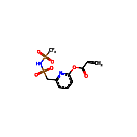 C=CC(=O)Oc1cccc(CS(=O)(=O)NS(=O)(=O)C(F)(F)F)n1